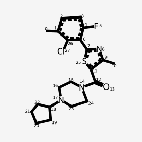 Cc1ccc(F)c(-c2nc(C)c(C(=O)N3CCN(C4CCCC4)CC3)s2)c1Cl